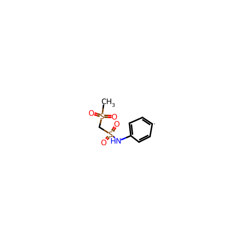 CS(=O)(=O)CS(=O)(=O)Nc1cc[c]cc1